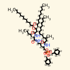 CCCCCCCCCCCC(=O)O[C@H](CCCCCCCCCCC)CC(=O)N[C@@H](CCCCC)C(=O)NCCC[C@H](COP(=O)(OCc1ccccc1)OCc1ccccc1)NC(=O)C[C@H](C)CCCCCCCCCCC